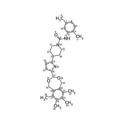 Cc1ccc(C)c(NC(=O)N2CCC(c3nc(C4OCc5c(C)c(C)c(C)c(C)c5CO4)cs3)CC2)c1